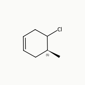 C[C@H]1CC=CCC1Cl